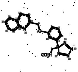 O=C(O)CC1(c2cccc(OCc3ccc4ccccc4n3)c2)N=NN=N1